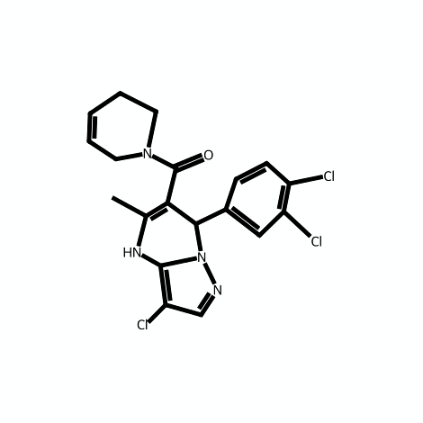 CC1=C(C(=O)N2CC=CCC2)C(c2ccc(Cl)c(Cl)c2)n2ncc(Cl)c2N1